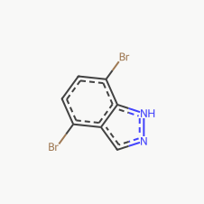 Brc1ccc(Br)c2[nH]ncc12